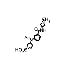 CC(=O)N(c1cccc(C(=O)NC2CN(C)C2)c1)C1CCN(C(=O)O)C1